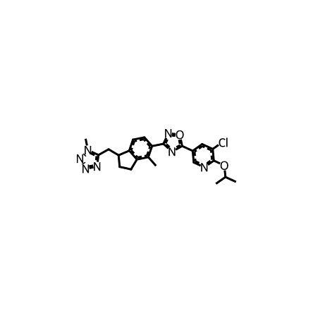 Cc1c(-c2noc(-c3cnc(OC(C)C)c(Cl)c3)n2)ccc2c1CCC2Cc1nnnn1C